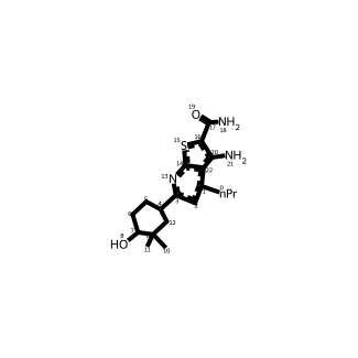 CCCc1cc(C2CCC(O)C(C)(C)C2)nc2sc(C(N)=O)c(N)c12